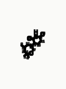 CC1=CC(C)(C)OCN(C2CCC(=O)NC2=O)C1